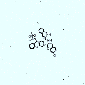 CCN(CC(c1ccccc1F)N1CCN(C(=O)[C@@H](Cc2ccc(Cl)cc2)NC[C@H]2Cc3ccccc3CN2)CC1)S(C)(=O)=O